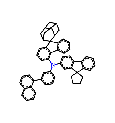 c1cc(-c2cccc3ccccc23)cc(N(c2ccc3c(c2)C2(CCCC2)c2ccccc2-3)c2cccc3c2-c2ccccc2C32C3CC4CC(C3)CC2C4)c1